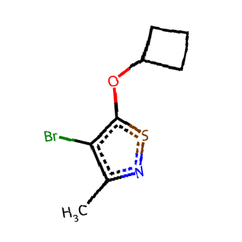 Cc1nsc(OC2CCC2)c1Br